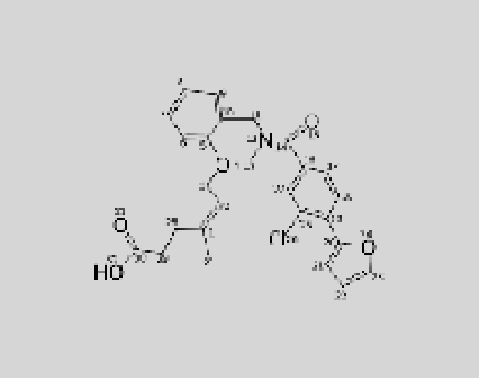 CC(=CCOc1ccccc1CN(C)C(=O)c1ccc(-c2ccco2)c(Cl)c1)CCC(=O)O